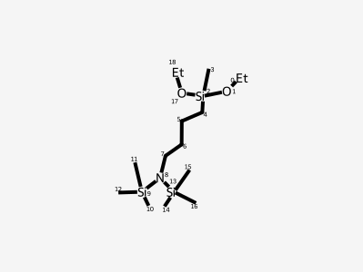 CCO[Si](C)(CCCCN([Si](C)(C)C)[Si](C)(C)C)OCC